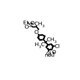 CCCCOc1c(Cl)cc(C(C)(C)c2ccc(OCC(C)CS(=O)(=O)CC)cc2)cc1Cl